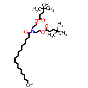 CCCCCCCC/C=C\CCCCCCCC(=O)N(CCOC(=O)CCC(C)(C)C)CCOC(=O)CCC(C)(C)C